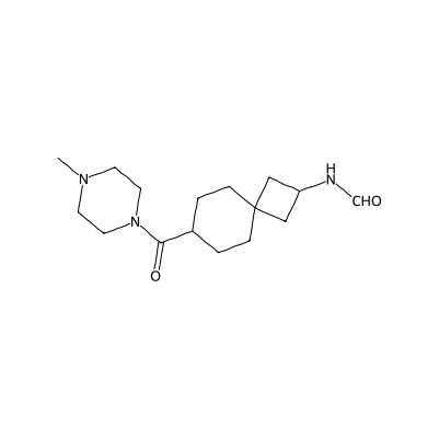 CN1CCN(C(=O)C2CCC3(CC2)CC(NC=O)C3)CC1